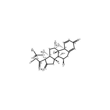 C=C1C[C@H]2[C@@H]3[C@H](Cl)CC4=CC(=O)C=C[C@]4(C)[C@@]3(Cl)[C@@H](Cl)C[C@]2(C)[C@]1(OC(=O)CC)C(=O)CF